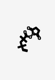 C=CC(C)(C)CC(C)(C)C(=O)ON1C(=O)CCC1=O